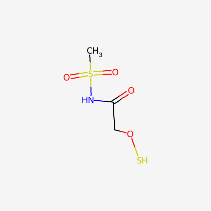 CS(=O)(=O)NC(=O)COS